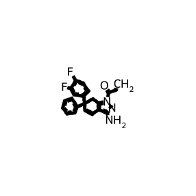 C=CC(=O)n1nc(N)c2c1CC(c1ccccc1)(c1ccc(F)c(F)c1)C=C2